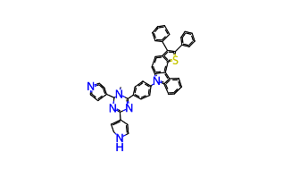 CN1C(c2ccc(-n3c4ccccc4c4c5sc(-c6ccccc6)c(-c6ccccc6)c5ccc43)cc2)=NC(C2=CCNC=C2)=NC1c1ccncc1